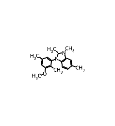 COc1cc(C)cc(N2c3ccc(C)cc3N(C)[C@@H]2C)c1C